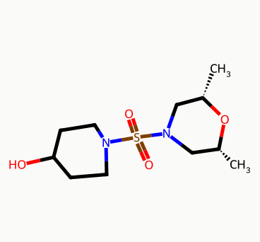 C[C@@H]1CN(S(=O)(=O)N2CCC(O)CC2)C[C@H](C)O1